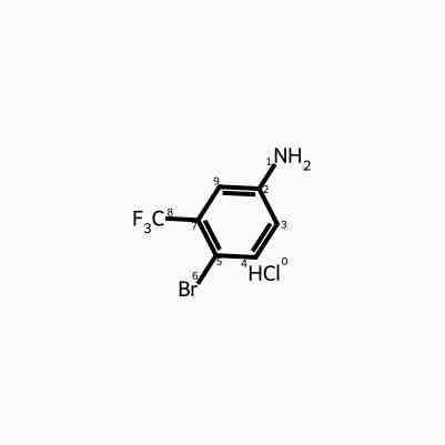 Cl.Nc1ccc(Br)c(C(F)(F)F)c1